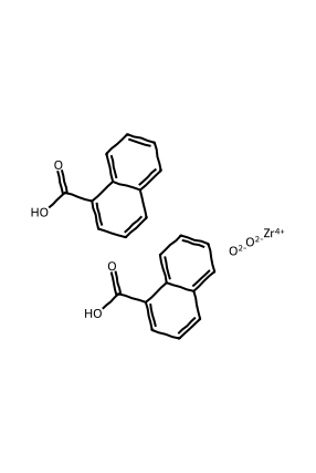 O=C(O)c1cccc2ccccc12.O=C(O)c1cccc2ccccc12.[O-2].[O-2].[Zr+4]